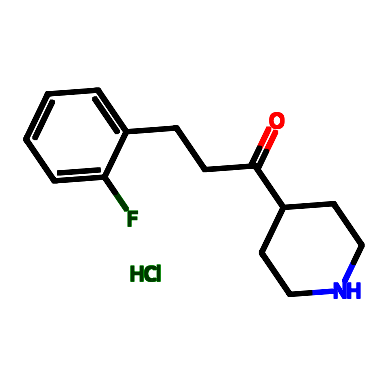 Cl.O=C(CCc1ccccc1F)C1CCNCC1